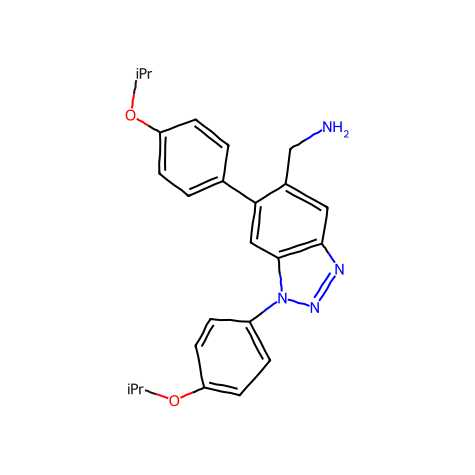 CC(C)Oc1ccc(-c2cc3c(cc2CN)nnn3-c2ccc(OC(C)C)cc2)cc1